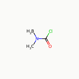 BN(C)C(=O)Cl